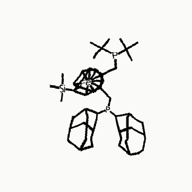 CC(C)(C)P(C[C]12[CH]3[C]4([Si](C)(C)C)[CH]5[C]1(CP(C1C6CC7CC(C6)CC1C7)C1C6CC7CC(C6)CC1C7)[Fe]53241678[CH]2[CH]1[CH]6[CH]7[CH]28)C(C)(C)C